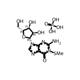 CSn1c(N)nc2c(ncn2[C@@H]2O[C@H](CO)[C@@H](O)[C@H]2O)c1=O.O=P(O)(O)O